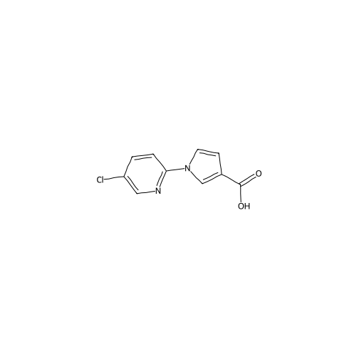 O=C(O)c1ccn(-c2ccc(Cl)cn2)c1